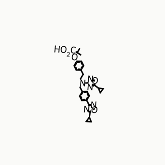 CC(C)(Oc1ccc(CCN(Cc2ccc(-c3noc(C4CC4)n3)cc2)c2noc(C3CC3)n2)cc1)C(=O)O